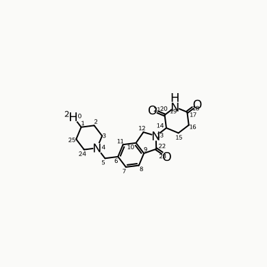 [2H]C1CCN(Cc2ccc3c(c2)CN(C2CCC(=O)NC2=O)C3=O)CC1